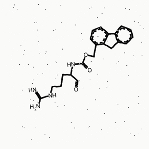 N=C(N)NCCCC([C]=O)NC(=O)OCc1cccc2c1Cc1ccccc1-2